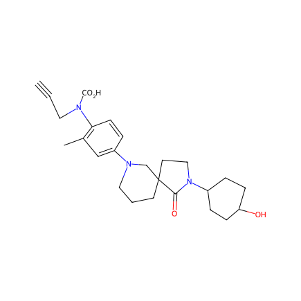 C#CCN(C(=O)O)c1ccc(N2CCCC3(CCN(C4CCC(O)CC4)C3=O)C2)cc1C